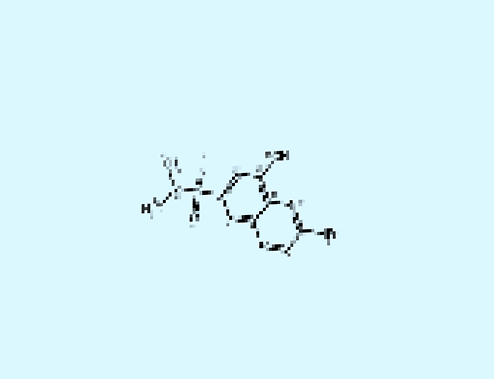 CC(C)c1ccc2cc(S(=O)(=O)N(C)C)cc(O)c2n1